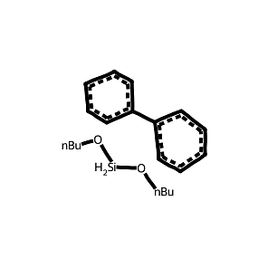 CCCCO[SiH2]OCCCC.c1ccc(-c2ccccc2)cc1